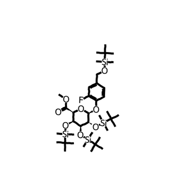 COC(=O)[C@H]1O[C@@H](Oc2ccc(CO[Si](C)(C)C(C)(C)C)cc2F)[C@H](O[Si](C)(C)C(C)(C)C)[C@@H](O[Si](C)(C)C(C)(C)C)[C@H]1O[Si](C)(C)C(C)(C)C